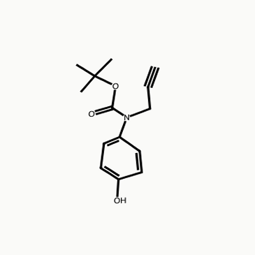 C#CCN(C(=O)OC(C)(C)C)c1ccc(O)cc1